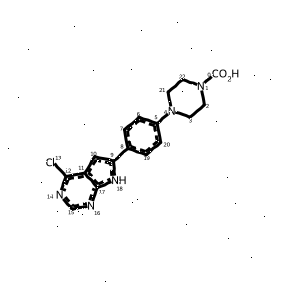 O=C(O)N1CCN(c2ccc(-c3cc4c(Cl)ncnc4[nH]3)cc2)CC1